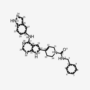 O=C(NCc1ccccc1)N1CC=C(c2cc3c(Nc4ccc5[nH]ncc5c4)ncnc3[nH]2)CC1